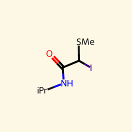 CSC(I)C(=O)NC(C)C